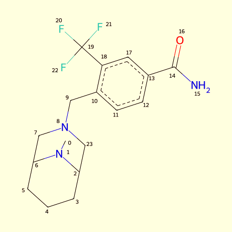 CN1C2CCCC1CN(Cc1ccc(C(N)=O)cc1C(F)(F)F)C2